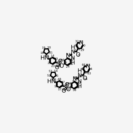 O=C(Nc1nc2cc(OS(=O)(=O)c3ccc(NC4CCCC4)cc3)ccc2[nH]1)c1ccncc1.O=C(Nc1nc2cc(OS(=O)(=O)c3ccc(NC4CCCC4)cc3)ccc2[nH]1)c1ccncc1